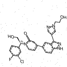 O=c1cc(-c2ccc3[nH]nc(-c4cnn(CCO)c4)c3c2)ccn1[C@H](CO)c1ccc(F)c(Cl)c1